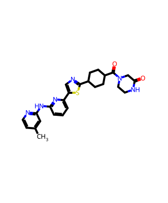 Cc1ccnc(Nc2cccc(-c3cnc(C4CCC(C(=O)N5CCNC(=O)C5)CC4)s3)n2)c1